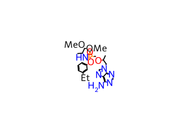 CCc1cccc(OP(=O)(COC(C)Cn2cnc3c(N)ncnc32)NC(C)C(OC)OC)c1